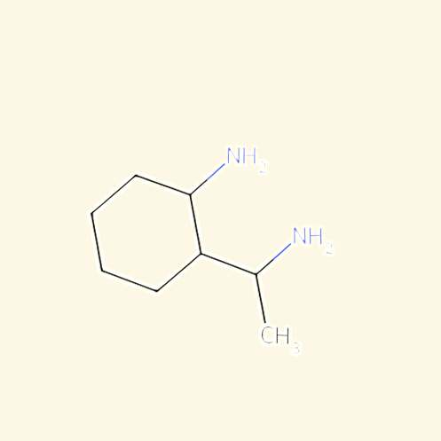 CC(N)C1CCCCC1N